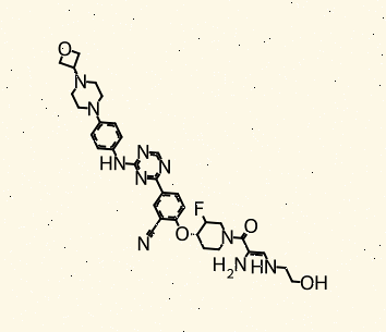 N#Cc1cc(-c2ncnc(Nc3ccc(N4CCN(C5COC5)CC4)cc3)n2)ccc1O[C@H]1CCN(C(=O)/C(N)=C/NCCO)CC1F